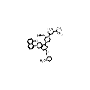 CC(C)[C@@H](N)CC(=O)N1CCN(c2nc(OC[C@@H]3CCCN3C)nc3c2CCN(c2cccc4cccc(Cl)c24)C3)C[C@@H]1CC#N